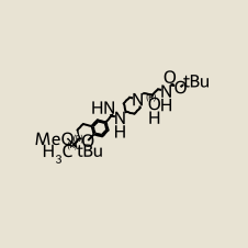 CO[C@@](C)([C@H]1CCc2cc(C(=N)NC3CCN(C[C@H](O)CNC(=O)OC(C)(C)C)CC3)ccc2O1)C(C)(C)C